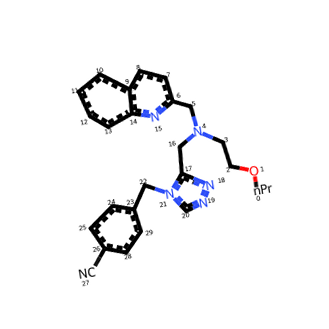 CCCOCCN(Cc1ccc2ccccc2n1)Cc1nncn1Cc1ccc(C#N)cc1